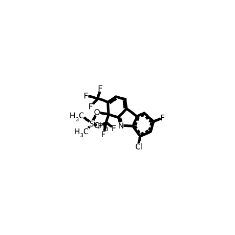 C[Si](C)(C)OC1(C(F)(F)F)C(C(F)(F)F)=CC=C2C1=Nc1c(Cl)cc(F)cc12